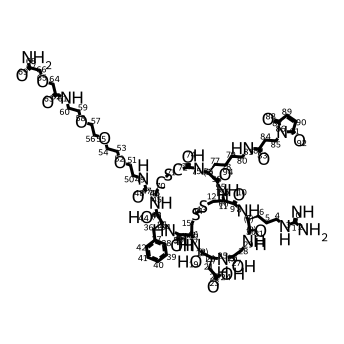 N=C(N)NCCC[C@@H]1NC(=O)[C@@H]2CSSC[C@H](N[C@H](O)[C@H](CC(=O)O)N[C@@H](O)CN[C@@H]1O)[C@H](O)N[C@@H](Cc1ccccc1)[C@@H](O)N[C@H](C(=O)NCCOCCOCCOCCNC(=O)COCC(N)=O)CSCC(=O)N[C@@H](CCCCNC(=O)CCN1C(=O)C=CC1=O)C(=O)N2